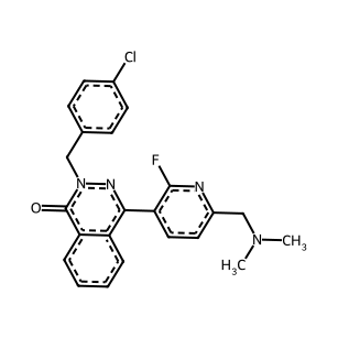 CN(C)Cc1ccc(-c2nn(Cc3ccc(Cl)cc3)c(=O)c3ccccc23)c(F)n1